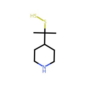 CC(C)(SS)C1CCNCC1